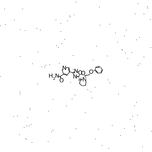 NC(=O)c1cncc(-c2noc([C@H]3CCCCN3C(=O)COc3ccccc3)n2)c1